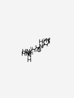 CN1CCC(CNC(=O)CCCC2=CNNN2)CC1